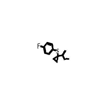 C=C(CC)C1(Sc2ccc(F)cc2)CC1